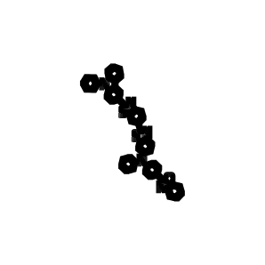 c1ccc(N(c2ccc(-c3nc4ccccc4o3)cc2)c2ccc3nc(-c4ccc5nc(-c6ccc7c(c6)c6ccccc6n7-c6ccccc6)sc5c4)sc3c2)cc1